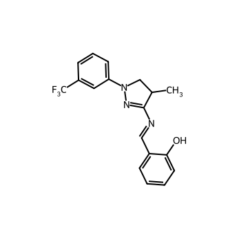 CC1CN(c2cccc(C(F)(F)F)c2)N=C1/N=C/c1ccccc1O